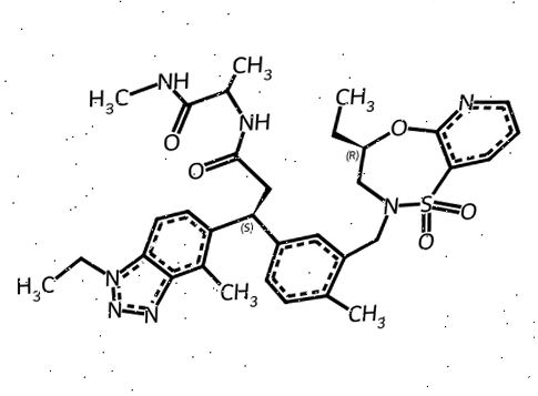 CC[C@@H]1CN(Cc2cc([C@H](CC(=O)NC(C)C(=O)NC)c3ccc4c(nnn4CC)c3C)ccc2C)S(=O)(=O)c2cccnc2O1